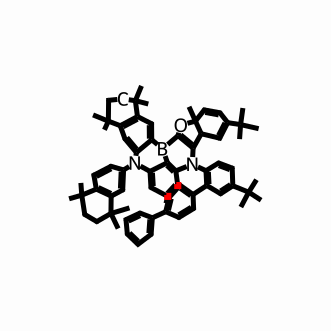 Cc1cc2c3c(c1)N(c1ccc4c(c1)C(C)(C)CCC4(C)C)c1cc4c(cc1B3C1=C(C3C=C(C(C)(C)C)C=CC3(C)O1)N2c1ccc(C(C)(C)C)cc1-c1ccc(-c2ccccc2)cc1)C(C)(C)CCC4(C)C